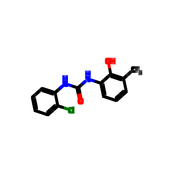 O=C(Nc1ccccc1Cl)Nc1cccc(C(F)(F)F)c1O